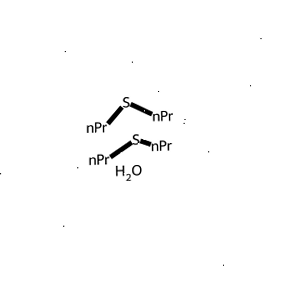 CCCSCCC.CCCSCCC.O